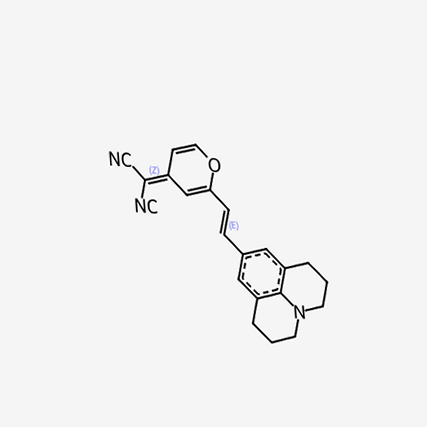 [C-]#[N+]/C(C#N)=C1/C=COC(/C=C/c2cc3c4c(c2)CCCN4CCC3)=C1